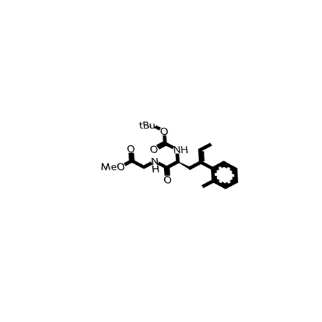 C/C=C(/C[C@H](NC(=O)OC(C)(C)C)C(=O)NCC(=O)OC)c1ccccc1C